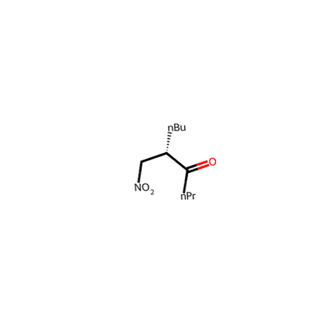 CCCC[C@@H](C[N+](=O)[O-])C(=O)CCC